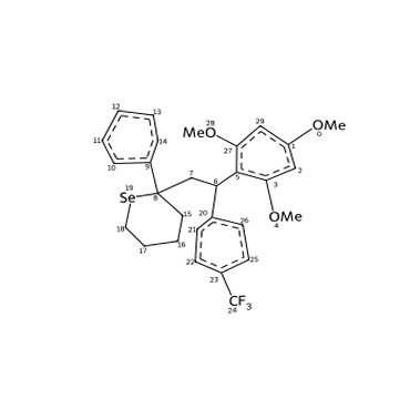 COc1cc(OC)c(C(CC2(c3ccccc3)CCCC[Se]2)c2ccc(C(F)(F)F)cc2)c(OC)c1